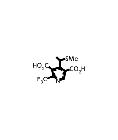 CSC(C)c1c(C(=O)O)cnc(C(F)(F)F)c1C(=O)O